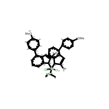 COc1ccc(-c2cccc3c2C=C(C(C)C)[CH]3[Zr]([Cl])([Cl])([CH]2C(C(C)C)=Cc3c(-c4ccc(OC)cc4)cccc32)[SiH](C)C)cc1